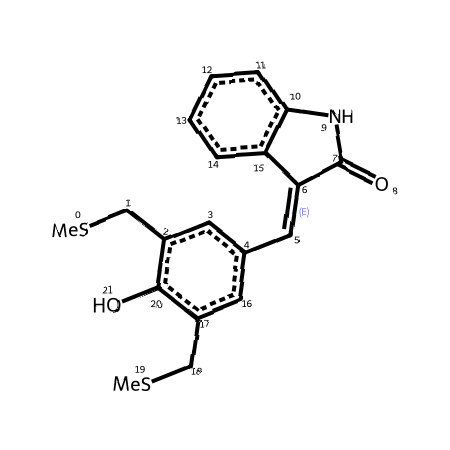 CSCc1cc(/C=C2/C(=O)Nc3ccccc32)cc(CSC)c1O